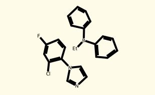 CCB(c1ccccc1)c1ccccc1.Fc1ccc(-n2ccnc2)c(Cl)c1